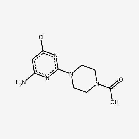 Nc1cc(Cl)nc(N2CCN(C(=O)O)CC2)n1